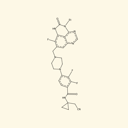 CCN1C(=O)Nc2c(F)c(CN3CCN(c4ccc(C(=O)NC5(CC#N)CC5)c(F)c4F)CC3)cc3ncnc1c23